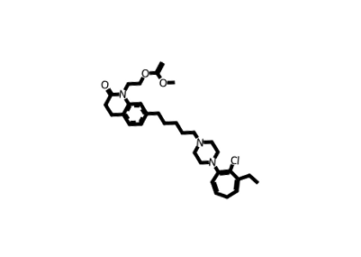 C=C(OC)OCCN1C(=O)CCc2ccc(CCCCCN3CCN(C4=C(Cl)C(CC)=CCC=C4)CC3)cc21